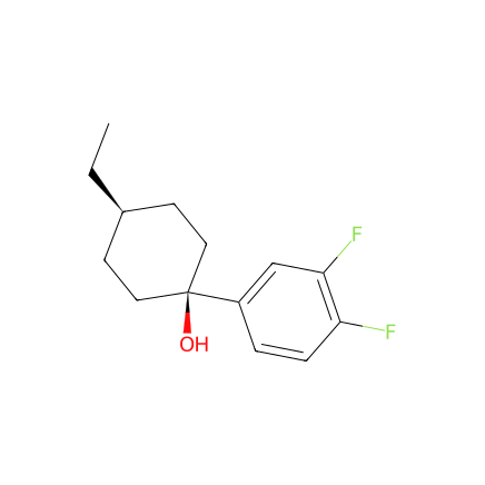 CC[C@H]1CC[C@](O)(c2ccc(F)c(F)c2)CC1